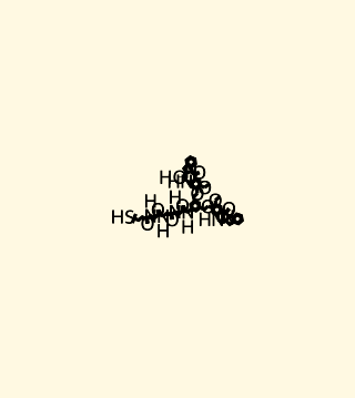 COc1cc2c(cc1OCc1cc(COc3cc4c(cc3OC)C(=O)N3c5ccccc5CC3[C@@H](O)N4)cc(NC(=O)CNC(=O)CNC(=O)CNC(=O)CCC(C)(C)S)c1)NCC1Cc3ccccc3N1C2=O